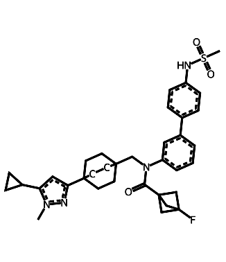 Cn1nc(C23CCC(CN(C(=O)C45CC(F)(C4)C5)c4cccc(-c5ccc(NS(C)(=O)=O)cc5)c4)(CC2)CC3)cc1C1CC1